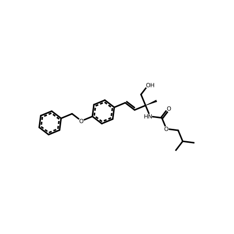 CC(C)COC(=O)N[C@](C)(/C=C/c1ccc(OCc2ccccc2)cc1)CO